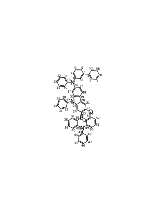 c1ccc(-c2cccc(N(c3ccccc3)c3ccc4c5cc6c(cc5n(-c5ccccc5)c4c3)B3c4ccccc4N(c4ccccc4)c4cccc(c43)O6)c2)cc1